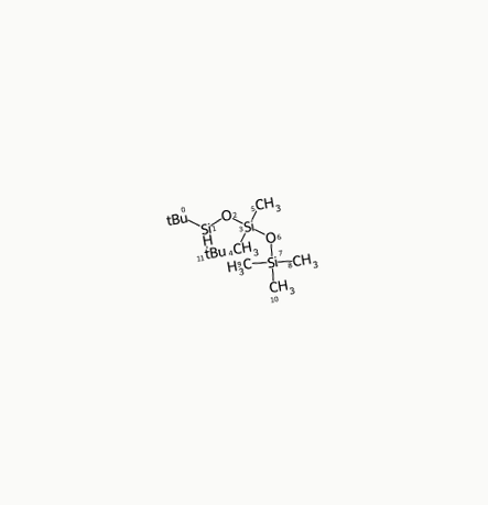 CC(C)(C)[SiH](O[Si](C)(C)O[Si](C)(C)C)C(C)(C)C